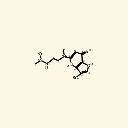 CN(CCN[S+](C)[O-])c1cc(=S)c2occ(Br)c2o1